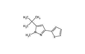 Cn1nc(-c2cccs2)cc1C(C)(C)C